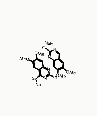 COc1cc2cnc(Cl)nc2cc1OC.COc1cc2nc(Cl)nc([Se][Na])c2cc1OC.[NaH]